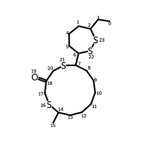 CCC1CCCC(C2CCCCCCC(C)SCC(=O)CS2)SS1